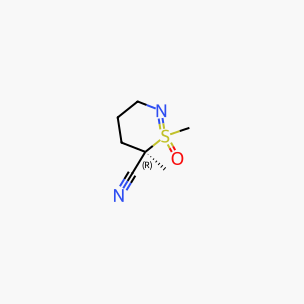 C[C@]1(C#N)CCCN=S1(C)=O